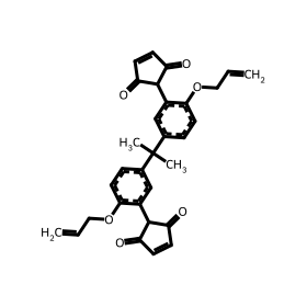 C=CCOc1ccc(C(C)(C)c2ccc(OCC=C)c(C3C(=O)C=CC3=O)c2)cc1C1C(=O)C=CC1=O